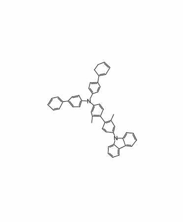 Cc1cc(N(c2ccc(C3=CC=CCC3)cc2)c2ccc(-c3ccccc3)cc2)ccc1-c1ccc(-n2c3ccccc3c3ccccc32)cc1C